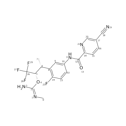 C/N=C(/N)O[C@@H]([C@H](C)c1cc(NC(=O)c2ccc(C#N)cn2)ccc1F)C(F)(F)F